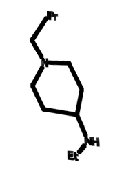 CCNC1CCN(CC(C)C)CC1